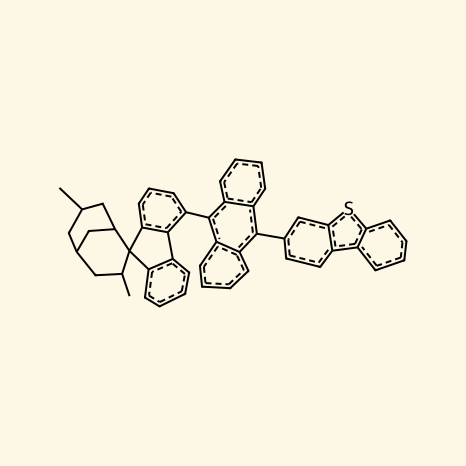 CC1CC2CC(C)C3(c4ccccc4-c4c(-c5c6ccccc6c(-c6ccc7c(c6)sc6ccccc67)c6ccccc56)cccc43)C(C1)C2